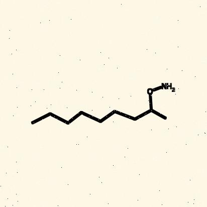 CCCCCCCC(C)ON